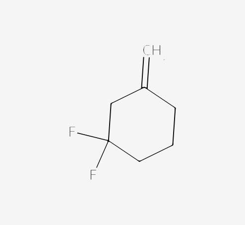 C=C1CCCC(F)(F)C1